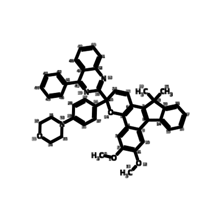 COc1cc2c3c(c4c(c2cc1OC)-c1ccccc1C4(C)C)C=CC(c1ccc(N2CCOCC2)cc1)(c1nc(-c2ccccc2)c2ccccc2n1)O3